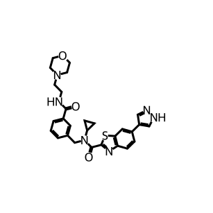 O=C(NCCN1CCOCC1)c1cccc(CN(C(=O)c2nc3ccc(-c4cn[nH]c4)cc3s2)C2CC2)c1